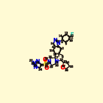 Cc1cc2c(cnn2-c2ccc(F)cc2)cc1C1CN(S(=O)(=O)c2cnn(C)n2)CCN1CC1CCCO1